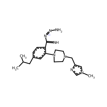 CC(C)Cc1ccc(C(=N)/N=N\N)c(N2CCN(Cc3cn(C)cn3)CC2)c1